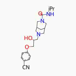 CC(C)NC(=O)N1CC2CC(CN(CC(O)COc3ccc(C#N)cc3)C2)C1